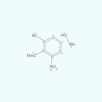 CC(C)(C)O.COc1c(C#N)cccc1[N+](=O)[O-]